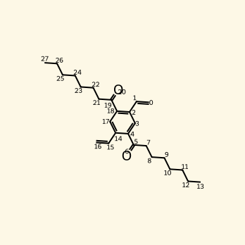 C=Cc1cc(C(=O)CCCCCCC)c(C=C)cc1C(=O)CCCCCCC